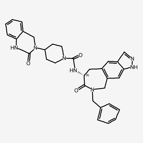 O=C(N[C@@H]1Cc2cc3cn[nH]c3cc2CN(Cc2ccccc2)C1=O)N1CCC(N2Cc3ccccc3NC2=O)CC1